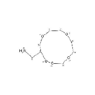 NCC1COCCOCCOCCO1